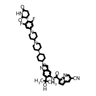 CC(C)(O)c1cc2nn([C@H]3CC[C@H](C4CCN(C5CCN(c6cc(F)c([C@H]7CCC(=O)NC7=O)c(F)c6)CC5)CC4)CC3)cc2cc1NC(=O)c1ccc2cc(C#N)cnn12